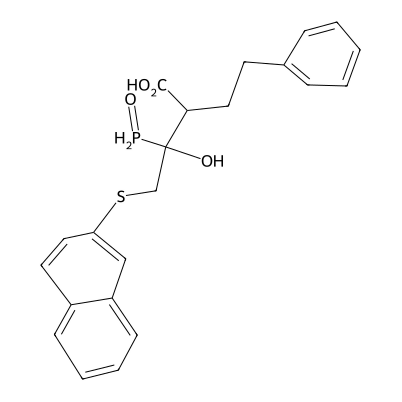 O=[PH2]C(O)(CSc1ccc2ccccc2c1)C(CCc1ccccc1)C(=O)O